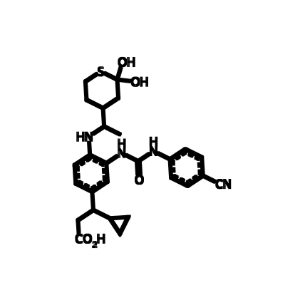 CC(Nc1ccc(C(CC(=O)O)C2CC2)cc1NC(=O)Nc1ccc(C#N)cc1)C1CCSC(O)(O)C1